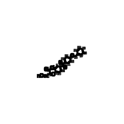 CCCCCCCCCCC(Oc1ccc(S(=O)(=O)c2ccc(OCc3ccccc3)cc2)cc1)C(=O)Cl